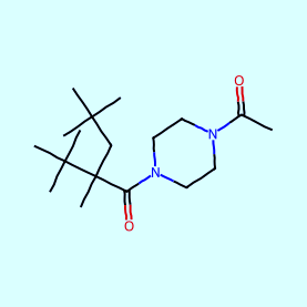 CC(=O)N1CCN(C(=O)C(C)(CC(C)(C)C)C(C)(C)C)CC1